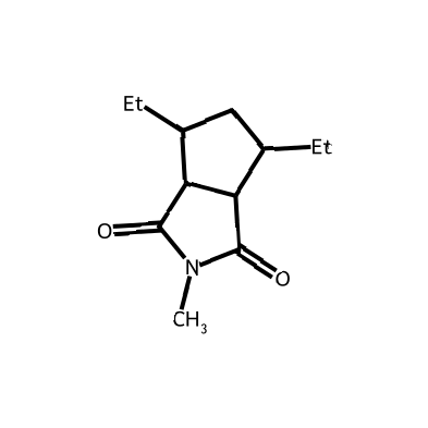 CCC1CC(CC)C2C(=O)N(C)C(=O)C12